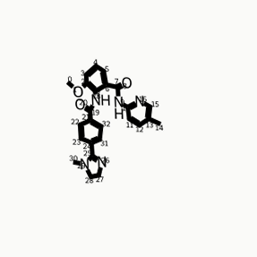 COc1cccc(C(=O)Nc2ccc(C)cn2)c1NC(=O)c1ccc(C2=NCCN2C)cc1